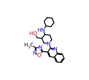 Cc1noc(-c2cc3ccccc3nc2N2CCC(NC3CCCCC3)C(CO)C2)n1